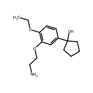 CCOc1ccc(C2(O)CCCC2)cc1OCCN